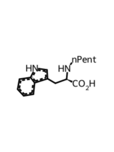 CCCCCN[C@H](Cc1c[nH]c2ccccc12)C(=O)O